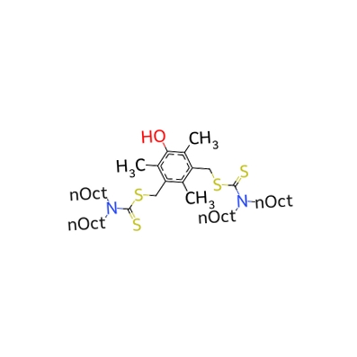 CCCCCCCCN(CCCCCCCC)C(=S)SCc1c(C)c(O)c(C)c(CSC(=S)N(CCCCCCCC)CCCCCCCC)c1C